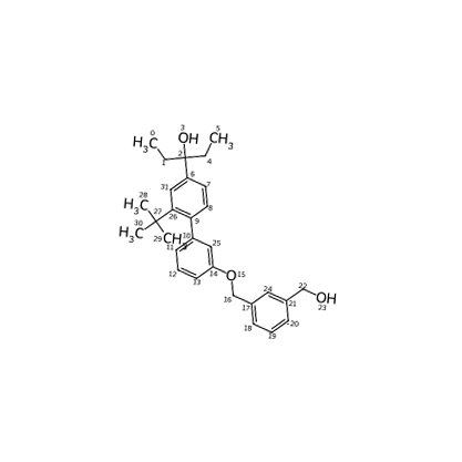 CCC(O)(CC)c1ccc(-c2cccc(OCc3cc[c]c(CO)c3)c2)c(C(C)(C)C)c1